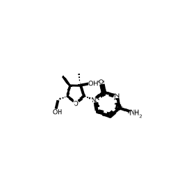 CC1[C@@H](CO)O[C@@H](n2ccc(N)nc2=O)[C@]1(C)O